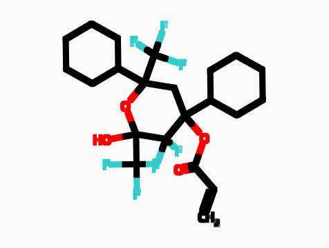 C=CC(=O)OC1(C2CCCCC2)CC(C2CCCCC2)(C(F)(F)F)OC(O)(C(F)(F)F)C1(F)F